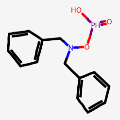 O=[PH](O)ON(Cc1ccccc1)Cc1ccccc1